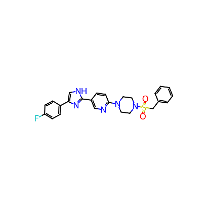 O=S(=O)(Cc1ccccc1)N1CCN(c2ccc(-c3nc(-c4ccc(F)cc4)c[nH]3)cn2)CC1